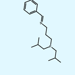 CC(C)CP(CCCN=Cc1ccccc1)CC(C)C